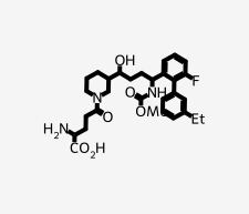 CCc1cccc(-c2c(F)cccc2C(CCC(O)C2CCCN(C(=O)CCC(N)C(=O)O)C2)NC(=O)OC)c1